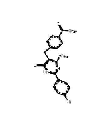 CCCCCc1nc(-c2ccc(Cl)cc2)[nH]c(=O)c1Cc1ccc(C(=O)OC)cc1